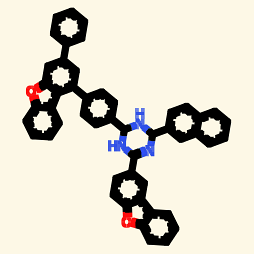 c1ccc(-c2cc(-c3ccc(C4NC(c5ccc6oc7ccccc7c6c5)=NC(c5ccc6ccccc6c5)N4)cc3)c3c(c2)oc2ccccc23)cc1